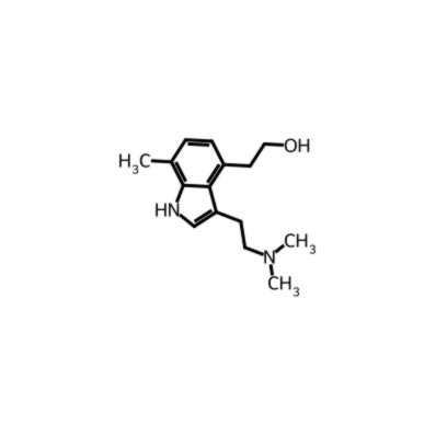 Cc1ccc(CCO)c2c(CCN(C)C)c[nH]c12